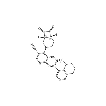 CC1CCCc2cccc(-c3cc4ncc(C#N)c(N5CC[C@H]6C(=O)C(=O)[C@H]6C5)c4cn3)c21